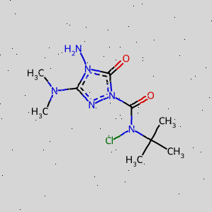 CN(C)c1nn(C(=O)N(Cl)C(C)(C)C)c(=O)n1N